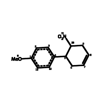 COc1ccc(C2CC=CCC2[N+](=O)[O-])cc1